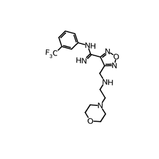 N=C(Nc1cccc(C(F)(F)F)c1)c1nonc1CNCCN1CCOCC1